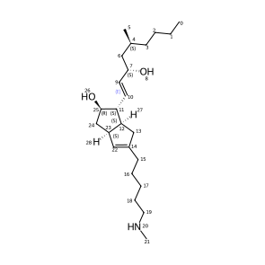 CCCC[C@H](C)C[C@H](O)/C=C/[C@@H]1[C@H]2CC(CCCCCNC)=C[C@H]2C[C@H]1O